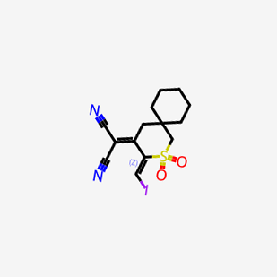 N#CC(C#N)=C1CC2(CCCCC2)CS(=O)(=O)/C1=C\I